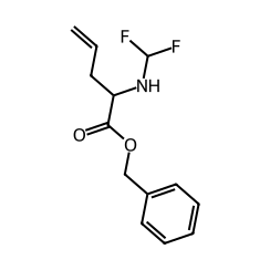 C=CCC(NC(F)F)C(=O)OCc1ccccc1